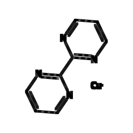 [Cu].c1cnc(-c2ncccn2)nc1